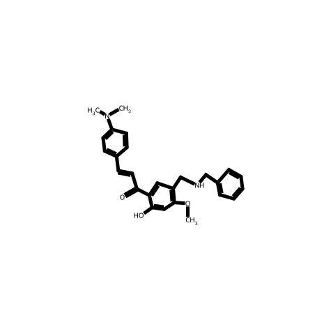 COc1cc(O)c(C(=O)/C=C/c2ccc(N(C)C)cc2)cc1CNCc1ccccc1